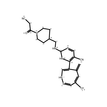 C=C1/C=C(C(F)(F)F)\C=N/N/C=C\1C1=C(C#N)C=NC(NCC2CCN(C(=O)CC#N)CC2)N1